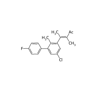 CC(=O)/C(C)=C(\C)c1cc(Cl)cc(-c2ccc(F)cc2)c1C